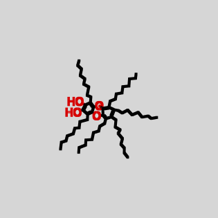 CCCCCCCCCc1c(CCCCCCCCC)c(CCCCCCCCC)c2c(c1CCCCCCCCC)Oc1c(CCCCCCCCC)c(O)c(O)c(CCCCCCCCC)c1O2